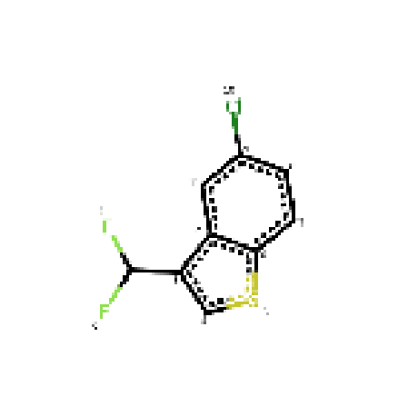 FC(F)c1csc2ccc(Cl)cc12